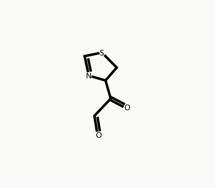 O=CC(=O)C1CSC=N1